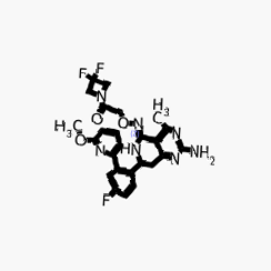 COc1cccc(-c2cc(F)ccc2C2Cc3nc(N)nc(C)c3/C(=N/OCC(=O)N3CC(F)(F)C3)N2)n1